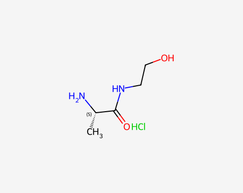 C[C@H](N)C(=O)NCCO.Cl